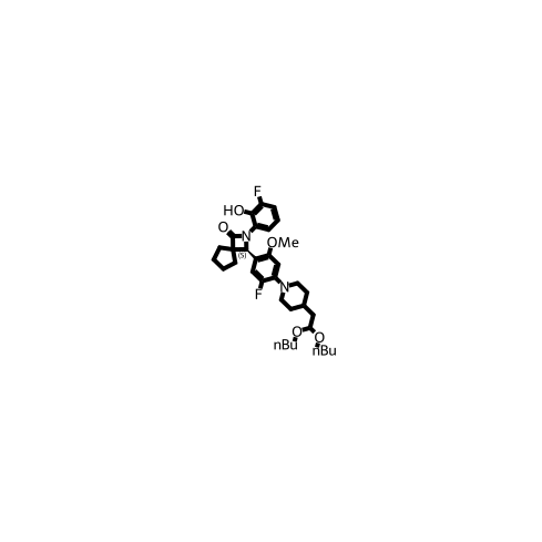 CCCCOC(CC1CCN(c2cc(OC)c([C@@H]3N(c4cccc(F)c4O)C(=O)C34CCCC4)cc2F)CC1)OCCCC